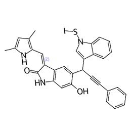 Cc1cc(C)c(/C=C2\C(=O)Nc3cc(O)c(C(C#Cc4ccccc4)c4cn(SI)c5ccccc45)cc32)[nH]1